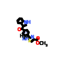 COC(=O)c1csc(C(C)/C=C\C(=C/C=N)C(=O)c2c[nH]c3ccccc23)n1